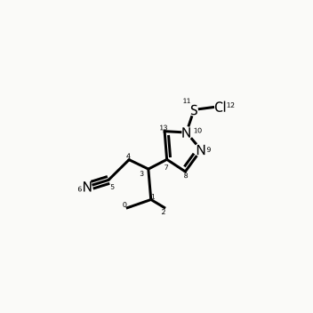 CC(C)C(CC#N)c1cnn(SCl)c1